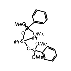 CO[Si](OC)(O[Si](O[Si](OC)(OC)c1ccccc1)(C(C)C)C(C)C)c1ccccc1